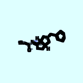 CC(C)(C)[S+]([O-])/N=C1\CC[C@H]2CN(Cc3ccccc3)C[C@@H]12